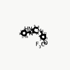 FC(F)(F)Oc1ccc(CN2C=Cc3[nH]c(-c4ccccc4)nc3C2)cc1